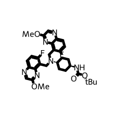 COc1cnc2ccc(F)c(CN(Cc3c(F)ccc4ncc(OC)nc34)[C@H]3CC[C@H](NC(=O)OC(C)(C)C)CC3)c2n1